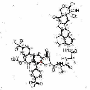 CC[C@@]1(O)C(=O)OCc2c1cc1n(c2=O)Cc2c-1nc1ccc(NC(=O)[C@H](C)NC(=O)[C@@H](NC(=O)[C@H](CCCCNC(=O)OC(C)(C)C)NC(=O)c3cc(-c4cnc(S(C)(=O)=O)nc4)cc(-c4cnc(S(C)(=O)=O)nc4)c3)C(C)C)c3c1c2CCC3